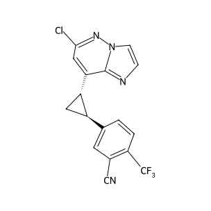 N#Cc1cc([C@H]2C[C@@H]2c2cc(Cl)nn3ccnc23)ccc1C(F)(F)F